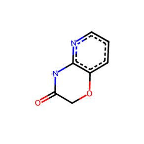 O=C1COc2cccnc2[N]1